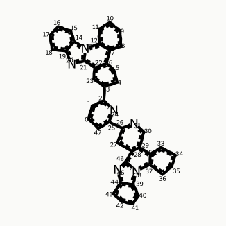 c1cc(-c2ccc3c4ccccc4n4c5ccccc5nc4c3c2)nc(-c2cc3c(cn2)c2ccccc2n2c4ccccc4nc32)c1